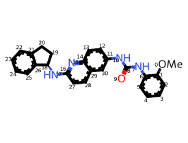 COc1ccccc1NC(=O)Nc1ccc2nc(N[C@@H]3CCc4ccccc43)ccc2c1